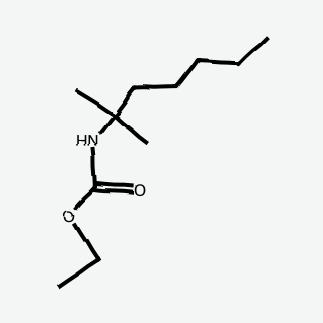 CCCCCC(C)(C)NC(=O)OCC